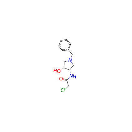 O=C(CCl)N[C@H]1CN(Cc2ccccc2)C[C@H]1O